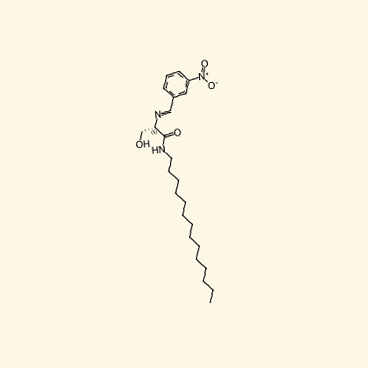 CCCCCCCCCCCCCCNC(=O)[C@H](CO)N=Cc1cccc([N+](=O)[O-])c1